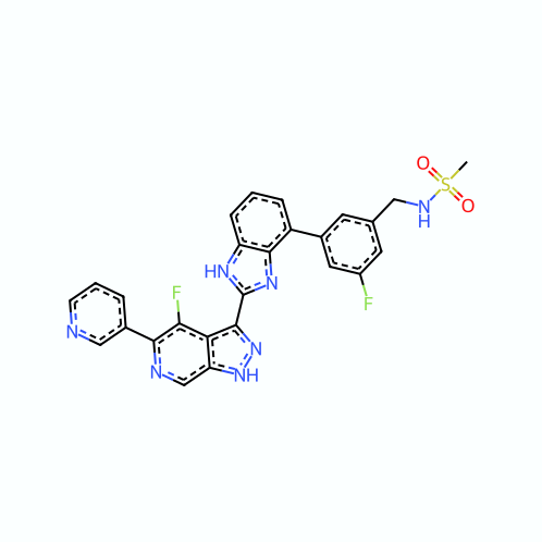 CS(=O)(=O)NCc1cc(F)cc(-c2cccc3[nH]c(-c4n[nH]c5cnc(-c6cccnc6)c(F)c45)nc23)c1